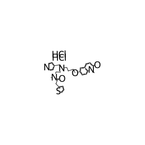 CN(CCN(CCCOc1ccc2c(ccc(=O)n2C)c1)Cc1ccncc1)C(=O)Cc1cccs1.Cl.Cl